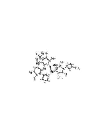 [2H]c1nc(Nc2c([2H])c(C(=O)Nc3c([2H])c(C)c([2H])c(-n4cnc(C)c4)c3[2H])c([2H])c([2H])c2C([2H])([2H])[2H])nc(-c2cccnc2)c1[2H]